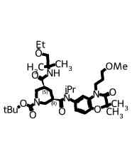 CCOCC(C)(C)NC(=O)[C@H]1C[C@@H](C(=O)N(c2ccc3c(c2)N(CCCOC)C(=O)C(C)(C)O3)C(C)C)CN(C(=O)OC(C)(C)C)C1